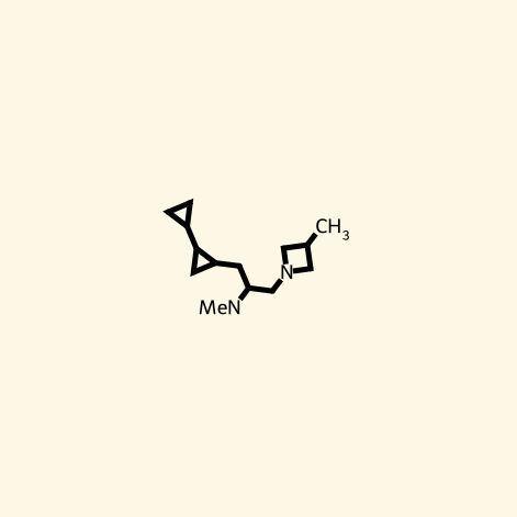 CNC(CC1CC1C1CC1)CN1CC(C)C1